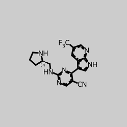 N#Cc1cnc(NC[C@H]2CCCN2)nc1-c1c[nH]c2ncc(C(F)(F)F)cc12